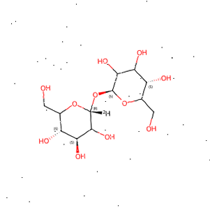 [2H][C@]1(O[C@@H]2OC(CO)[C@@H](O)C(O)C2O)OC(CO)[C@@H](O)[C@H](O)C1O